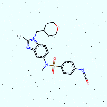 CN(c1ccc2c(c1)nc(C(F)(F)F)n2CC1CCOCC1)S(=O)(=O)c1ccc(N=C=O)cc1